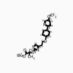 CC(C)(C)OC(=O)C(C)(C)Sc1nc(CCOc2ccc(-c3ccc(OC(F)(F)F)cn3)cc2)cs1